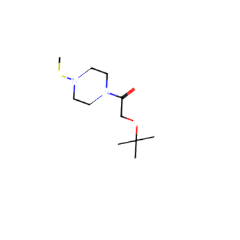 CSN1CCN(C(=O)COC(C)(C)C)CC1